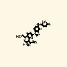 Cc1ccc(Nc2ccc3c(c2)ncn3-c2ccc(CCO)c(-c3c(C#N)n[nH]c3C)n2)nn1